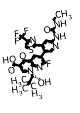 CCNC(=O)Nc1cc(-c2nc(C(F)(F)F)cs2)c(-c2cc3c(=O)c(C(=O)O)cn([C@H](CO)C(C)(C)C)c3nc2F)cn1